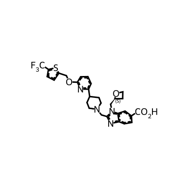 O=C(O)c1ccc2nc(CN3CCC(c4cccc(OCc5ccc(C(F)(F)F)s5)n4)CC3)n(C[C@@H]3CCO3)c2c1